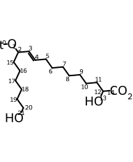 CCOC(C=CCCCCCCCC(O)C(=O)O)CCCCCCO